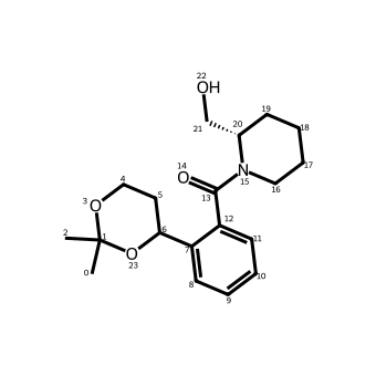 CC1(C)OCCC(c2ccccc2C(=O)N2CCCC[C@H]2CO)O1